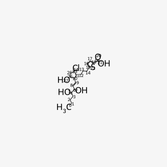 CCCCC(O)[C@H](O)C=C[C@@H]1[C@@H](CCCc2ccc(C(=O)O)s2)[C@H](Cl)C[C@H]1O